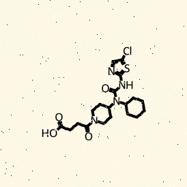 O=C(O)CCC(=O)N1CCC(N(C(=O)Nc2ncc(Cl)s2)C2CCCCC2)CC1